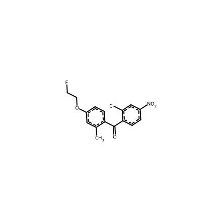 Cc1cc(OCCF)ccc1C(=O)c1ccc([N+](=O)[O-])cc1Cl